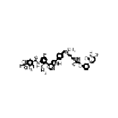 Cc1c(NC(=O)c2ccc(C(C)(C)F)cc2F)cc(F)cc1-c1ncnc2[nH]c(-c3ccc(CN(C)CCCNC(=O)COc4cccc(N5CCC(=O)NC5=O)c4)cc3)cc12